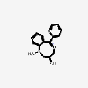 CN1CC(O)C/N=C(/c2ccccn2)c2ccccc21